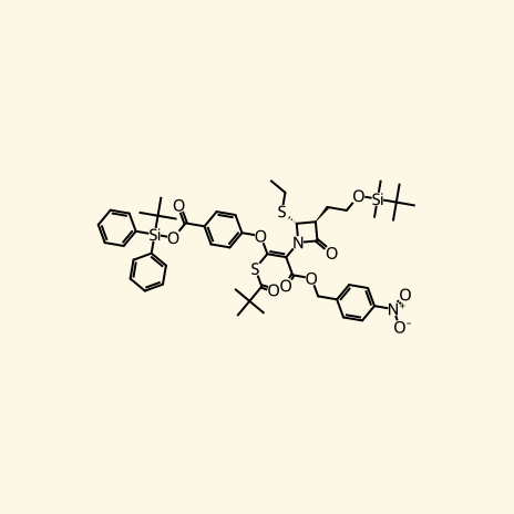 CCS[C@@H]1[C@@H](CCO[Si](C)(C)C(C)(C)C)C(=O)N1C(C(=O)OCc1ccc([N+](=O)[O-])cc1)=C(Oc1ccc(C(=O)O[Si](c2ccccc2)(c2ccccc2)C(C)(C)C)cc1)SC(=O)C(C)(C)C